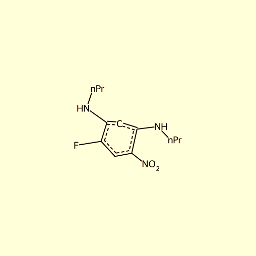 CCCNc1cc(NCCC)c([N+](=O)[O-])cc1F